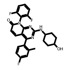 Cc1cc(F)ccc1-c1nc(NC2CCC(O)CC2)nc2c1ccc(=O)n2-c1c(F)cccc1F